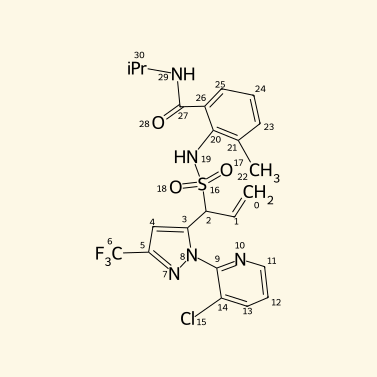 C=CC(c1cc(C(F)(F)F)nn1-c1ncccc1Cl)S(=O)(=O)Nc1c(C)cccc1C(=O)NC(C)C